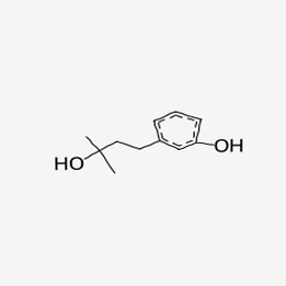 CC(C)(O)CCc1cccc(O)c1